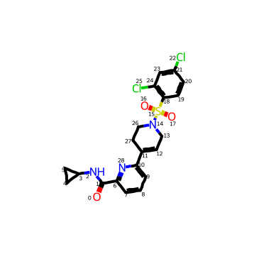 O=C(NC1CC1)c1cccc(C2=CCN(S(=O)(=O)c3ccc(Cl)cc3Cl)CC2)n1